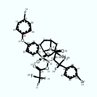 NC1CC2CCC(C1)N2C(=O)[C@@H](N(OC(=O)C(F)(F)F)S(=O)(=O)c1ccc(Oc2ccc(F)cc2)cc1)C(F)(F)c1ccc(Br)cc1